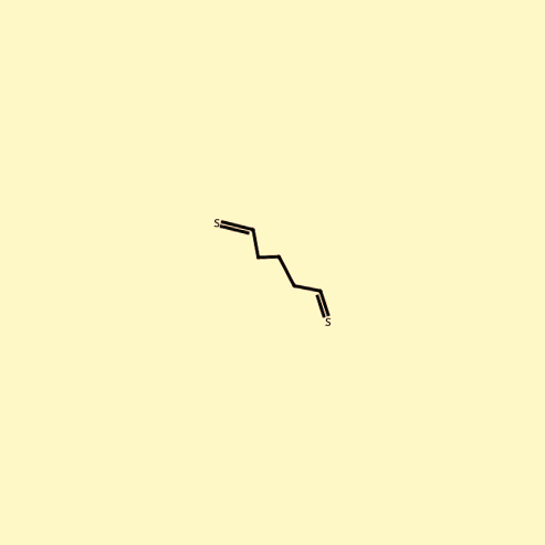 S=CCCCC=S